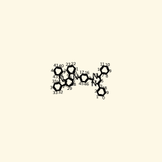 c1ccc(-c2cc(-c3ccccc3)nc(-c3ccc(-n4c5ccccc5c5c4ccc4c6ccccc6n(-c6ccccc6)c45)cc3)n2)cc1